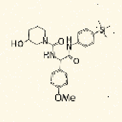 COc1ccc(C(NC(=O)N2CCCC(O)C2)C(=O)Nc2ccc([Si](C)(C)C)cc2)cc1